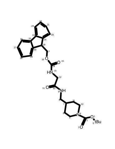 CC(C)(C)OC(=O)N1CCC(CNC(=O)CNC(=O)OCC2c3ccccc3-c3ccccc32)CC1